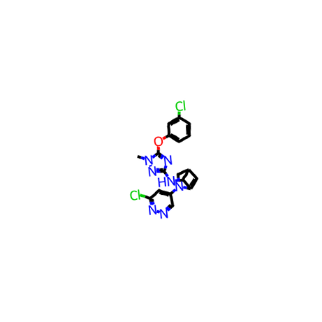 Cn1nc(NC2C3=CC2CN3c2cnnc(Cl)c2)nc1Oc1cccc(Cl)c1